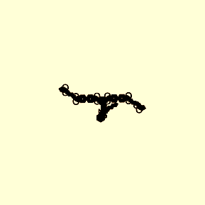 C=CC(=O)COCCCOC(=O)C1CCC(C2CCC(C(=O)Oc3ccc(OC(=O)C4CCC(C5CCC(C(=O)OCCCCOC(=O)C=C)CC5)CC4)cc3/C=N/N(CCCCCC)c3nc4ccccc4s3)CC2)CC1